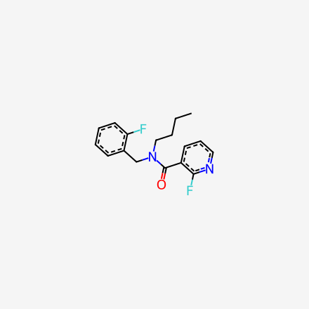 CCCCN(Cc1ccccc1F)C(=O)c1cccnc1F